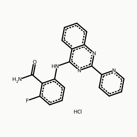 Cl.NC(=O)c1c(F)cccc1Nc1nc(-c2ccccn2)nc2ccccc12